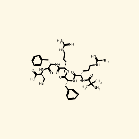 CC(C)(N)C(=O)N[C@@H](CCCNC(=N)N)C(=O)N[C@H](Cc1ccccc1)C(=O)N[C@@H](CCCNC(=N)N)C(=O)N[C@@H](Cc1ccccc1)C(=O)N[C@@H](CS)C(=O)O